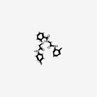 Cc1ccccc1NC(=O)CNC(=O)c1ccccc1OCC(=O)Nc1ccc(F)cc1